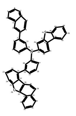 c1cc(-c2ccc3ccccc3c2)cc(N(c2cccc(-c3cccc4oc5c6ccccc6ccc5c34)c2)c2ccc3c(c2)sc2ccccc23)c1